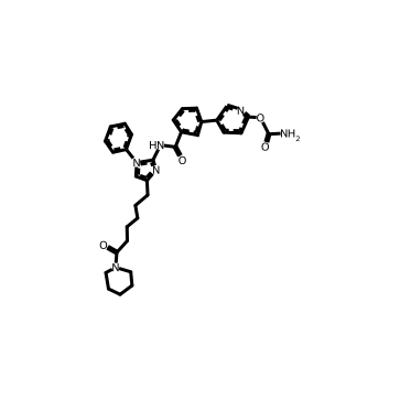 NC(=O)Oc1ccc(-c2cccc(C(=O)Nc3nc(CCCCCC(=O)N4CCCCC4)cn3-c3ccccc3)c2)cn1